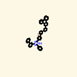 c1ccc(-c2cccc(C3=NC(c4ccccc4)NC(c4ccc5c(c4)sc4ccc(-c6cccc(-c7ccc8c9ccccc9c9ccccc9c8c7)c6)cc45)=N3)c2)cc1